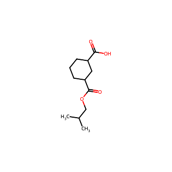 CC(C)COC(=O)C1CCCC(C(=O)O)C1